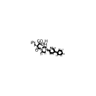 CC(C)C[C@H](C(=O)N1CCN(c2ccc(-c3ccccc3)cn2)C[C@H]1C)[C@H](O)C(=O)O